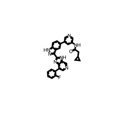 O=C(CC1CC1)Nc1cncc(-c2ccc3[nH]nc(-c4nc5c(-c6ccccc6F)cncc5[nH]4)c3c2)c1